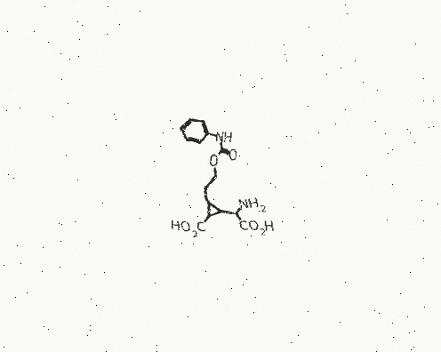 NC(C(=O)O)C1C(CCOC(=O)Nc2ccccc2)C1C(=O)O